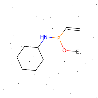 C=CP(NC1CCCCC1)OCC